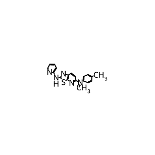 Cc1ccc(N(C)c2ccc3nc(Nc4ccccn4)sc3n2)cc1